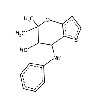 CC1(C)Oc2ccsc2C(Nc2ccccc2)C1O